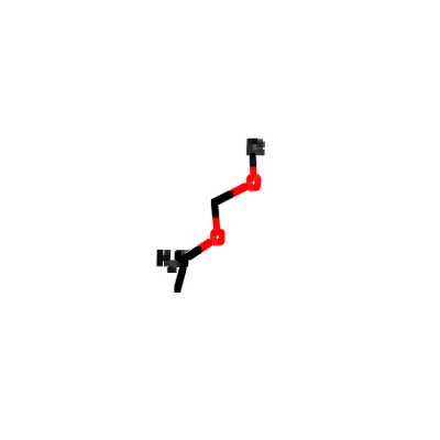 CCOCO[SiH2]C